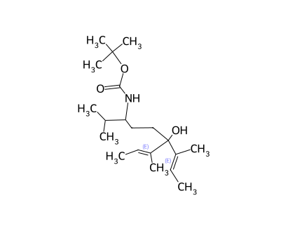 C/C=C(\C)C(O)(CCC(NC(=O)OC(C)(C)C)C(C)C)/C(C)=C/C